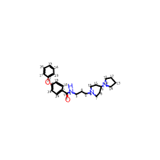 O=C(NCCCN1CCC(N2CCCC2)CC1)c1ccc(Oc2ccccc2)cc1